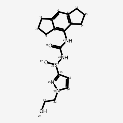 O=C(Nc1c2c(cc3c1CCC3)CCC2)N[S+]([O-])c1ccn(CCO)n1